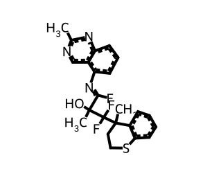 Cc1ncc2c(N=C(F)C(C)(O)C(F)(F)C3(C)CCSc4ccccc43)cccc2n1